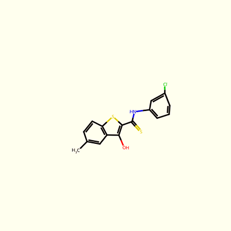 Cc1ccc2sc(C(=S)Nc3cccc(Cl)c3)c(O)c2c1